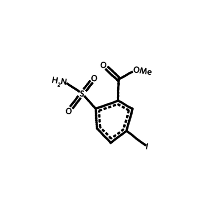 COC(=O)c1cc(I)ccc1S(N)(=O)=O